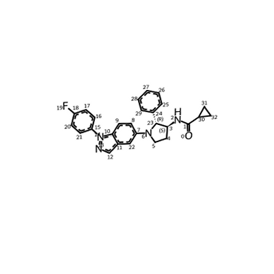 O=C(N[C@H]1CCN(c2ccc3c(cnn3-c3ccc(F)cc3)c2)[C@@H]1c1ccccc1)C1CC1